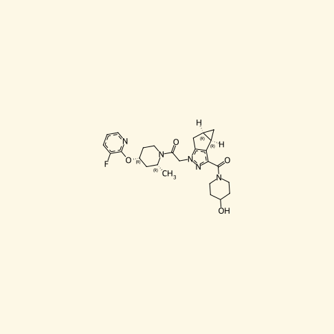 C[C@@H]1C[C@H](Oc2ncccc2F)CCN1C(=O)Cn1nc(C(=O)N2CCC(O)CC2)c2c1C[C@H]1C[C@@H]21